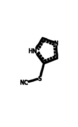 N#CSc1cnc[nH]1